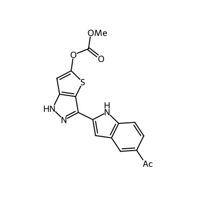 COC(=O)Oc1cc2[nH]nc(-c3cc4cc(C(C)=O)ccc4[nH]3)c2s1